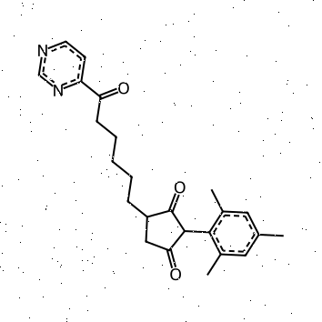 Cc1cc(C)c(C2C(=O)CC(CCCCCC(=O)c3ccncn3)C2=O)c(C)c1